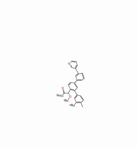 CCCCc1cc(-c2cc(-c3cccc(-c4cccnc4)c3)ccc2C(OC(C)(C)C)C(=O)OC)ccc1C